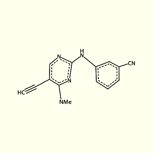 C#Cc1cnc(Nc2cccc(C#N)c2)nc1NC